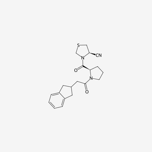 N#C[C@@H]1CSCN1C(=O)[C@H]1CCCN1C(=O)CC1Cc2ccccc2C1